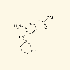 COC(=O)Cc1ccc(N[C@H]2CCC[C@@H](C)C2)c(N)c1